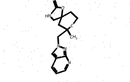 CC1(Cn2cc3cccnc3n2)CCCC2(CNC(=O)O2)C1